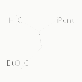 [CH2]CCC(C)C(C)CC(=O)OCC